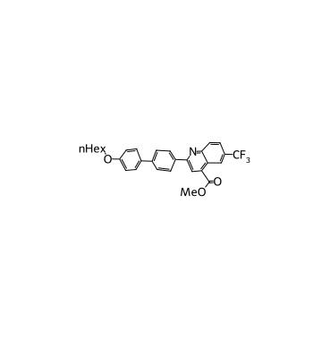 CCCCCCOc1ccc(-c2ccc(-c3cc(C(=O)OC)c4cc(C(F)(F)F)ccc4n3)cc2)cc1